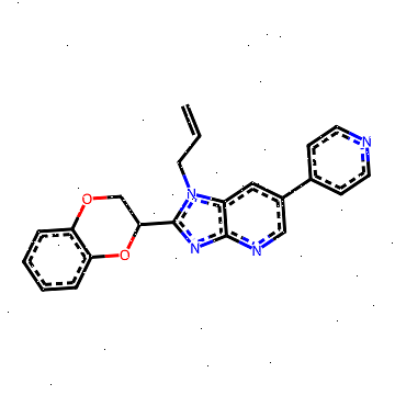 C=CCn1c(C2COc3ccccc3O2)nc2ncc(-c3ccncc3)cc21